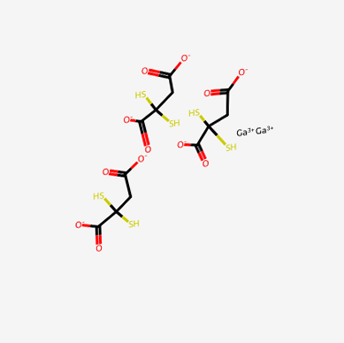 O=C([O-])CC(S)(S)C(=O)[O-].O=C([O-])CC(S)(S)C(=O)[O-].O=C([O-])CC(S)(S)C(=O)[O-].[Ga+3].[Ga+3]